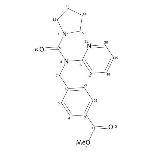 COC(=O)c1ccc(CN(C(=O)N2CCCC2)c2ccccn2)cc1